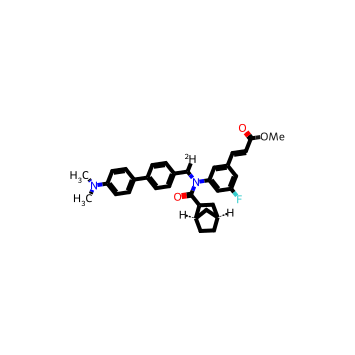 [2H]C(c1ccc(-c2ccc(N(C)C)cc2)cc1)N(C(=O)C1C[C@H]2CC[C@@H]1C2)c1cc(F)cc(/C=C/C(=O)OC)c1